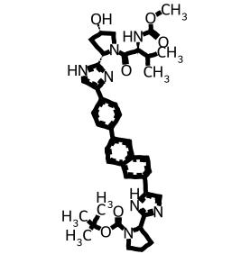 COC(=O)N[C@H](C(=O)N1C[C@@H](O)C[C@H]1c1nc(-c2ccc(-c3ccc4cc(-c5cnc(C6CCCN6C(=O)OC(C)(C)C)[nH]5)ccc4c3)cc2)c[nH]1)C(C)C